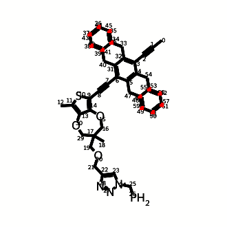 CC#Cc1c2c(c(C#Cc3sc(C)c4c3OCC(C)(COCc3cn(CP)nn3)CO4)c3c1C1c4ccccc4C3c3ccccc31)C1c3ccccc3C2c2ccccc21